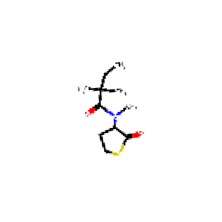 CCC(C)(C)C(=O)N(C)C1CCSC1=O